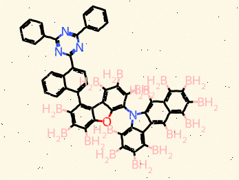 Bc1c(B)c(-c2ccc(-c3nc(-c4ccccc4)nc(-c4ccccc4)n3)c3ccccc23)c2c(oc3c(-n4c5c(B)c(B)c(B)c(B)c5c5c(B)c6c(B)c(B)c(B)c(B)c6c(B)c54)c(B)c(B)c(B)c32)c1B